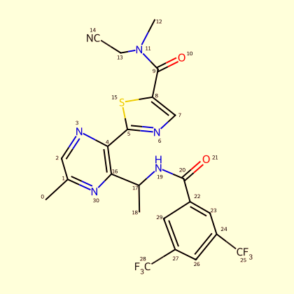 Cc1cnc(-c2ncc(C(=O)N(C)CC#N)s2)c(C(C)NC(=O)c2cc(C(F)(F)F)cc(C(F)(F)F)c2)n1